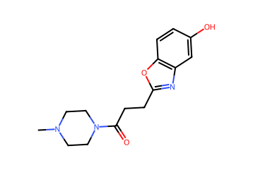 CN1CCN(C(=O)CCc2nc3cc(O)ccc3o2)CC1